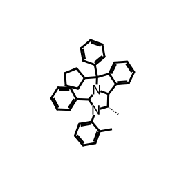 Cc1ccccc1N1C(c2ccccc2)N2C(c3ccccc3C2(c2ccccc2)C2CCCC2)[C@@H]1C